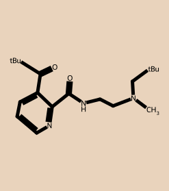 CN(CCNC(=O)c1ncccc1C(=O)C(C)(C)C)CC(C)(C)C